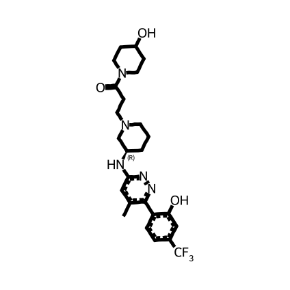 Cc1cc(N[C@@H]2CCCN(CCC(=O)N3CCC(O)CC3)C2)nnc1-c1ccc(C(F)(F)F)cc1O